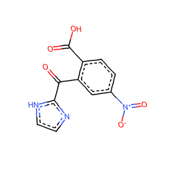 O=C(O)c1ccc([N+](=O)[O-])cc1C(=O)c1ncc[nH]1